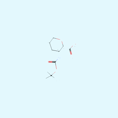 CC(C)(C)OC(=O)N[C@@H]1CCCO[C@@H]1C(=O)O